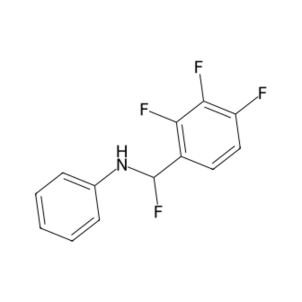 Fc1ccc(C(F)Nc2ccccc2)c(F)c1F